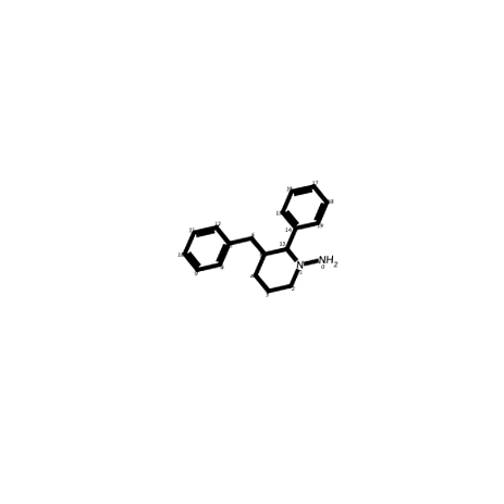 NN1CCCC(Cc2ccccc2)C1c1ccccc1